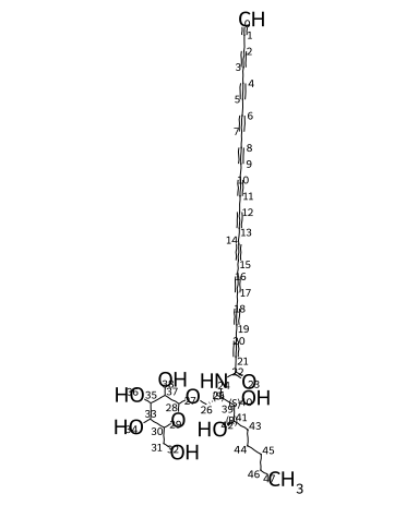 C#CC#CC#CC#CC#CC#CC#CC#CC#CC#CC#CC(=O)N[C@@H](COC1OC(CO)C(O)C(O)C1O)[C@H](O)[C@H](O)CCCCC